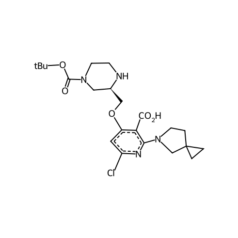 CC(C)(C)OC(=O)N1CCN[C@@H](COc2cc(Cl)nc(N3CCC4(CC4)C3)c2C(=O)O)C1